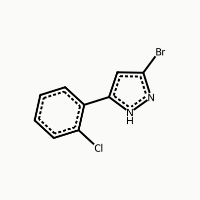 Clc1ccccc1-c1cc(Br)n[nH]1